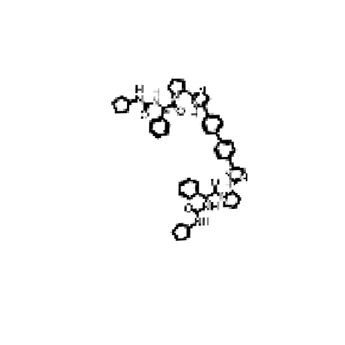 O=C(NC1CCCC1)N[C@@H](C(=O)N1CCC[C@H]1c1ncc(-c2ccc(-c3ccc(-c4cnc([C@@H]5CCCN5C(=O)[C@H](NC(=O)NC5CCCC5)c5ccccc5)[nH]4)cc3)cc2)[nH]1)c1ccccc1